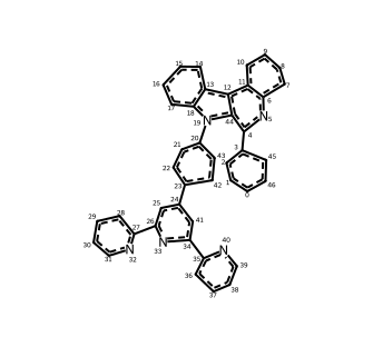 c1ccc(-c2nc3ccccc3c3c4ccccc4n(-c4ccc(-c5cc(-c6ccccn6)nc(-c6ccccn6)c5)cc4)c23)cc1